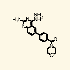 NNc1nc(N)nc2ccc(-c3ccc(C(=O)N4CCOCC4)cc3)cc12